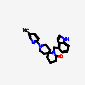 N#Cc1ccc(N2CCC3(CCCC(=O)N3Cc3cccc4[nH]ccc34)CC2)nc1